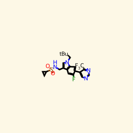 CC(C)(C)Cn1cc(CNS(=O)(=O)C2CC2)c2cc(F)c(-c3cncnc3C(F)(F)F)cc21